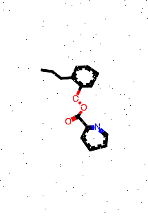 CCCc1ccccc1OOC(=O)c1ccccn1